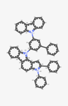 c1ccc(-c2cc(-n3c4ccccc4c4ccccc43)cc(-n3c4ccccc4c4ccc5c(cc(-c6ccccc6)n5-c5ccccc5)c43)c2)cc1